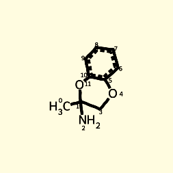 CC1(N)COc2ccccc2O1